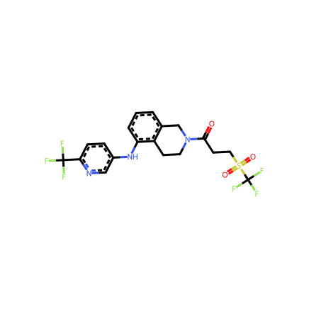 O=C(CCS(=O)(=O)C(F)(F)F)N1CCc2c(cccc2Nc2ccc(C(F)(F)F)nc2)C1